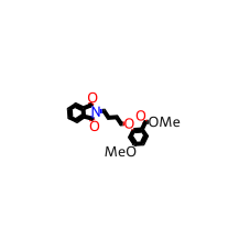 COC(=O)c1ccc(OC)cc1OCCCCN1C(=O)c2ccccc2C1=O